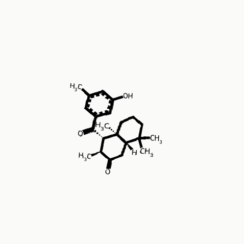 Cc1cc(O)cc(C(=O)[C@H]2[C@H](C)C(=O)C[C@H]3C(C)(C)CCC[C@]23C)c1